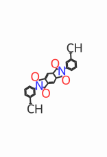 C#Cc1cccc(N2C(=O)C3=CC4C(=O)N(c5cccc(C#C)c5)C(=O)C4C=C3C2=O)c1